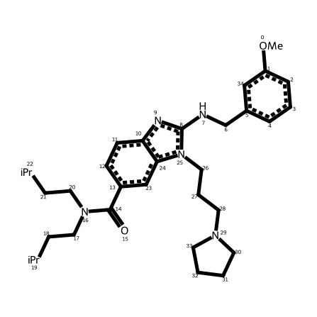 COc1cccc(CNc2nc3ccc(C(=O)N(CCC(C)C)CCC(C)C)cc3n2CCCN2CCCC2)c1